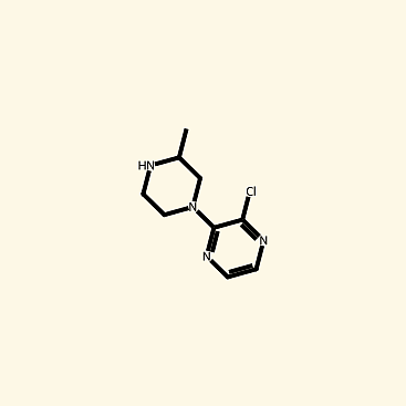 CC1CN(c2nccnc2Cl)CCN1